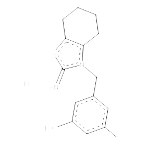 Br.N=c1sc2c(n1Cc1cc(C(F)(F)F)cc(C(F)(F)F)c1)CCCC2